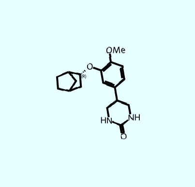 COc1ccc(C2CNC(=O)NC2)cc1O[C@@H]1CC2CCC1C2